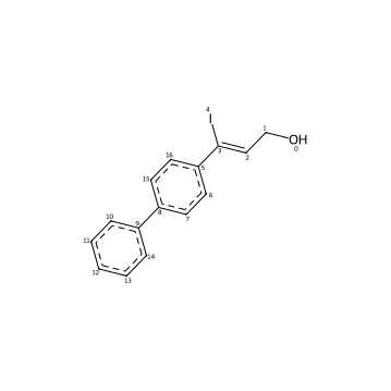 OCC=C(I)c1ccc(-c2ccccc2)cc1